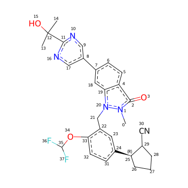 Cn1c(=O)c2ccc(-c3cnc(C(C)(C)O)nc3)cc2n1Cc1cc([C@@H]2CCCC2C#N)ccc1OC(F)F